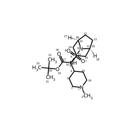 CN1CCC(CS(=O)(=O)N2[C@@H]3CC[C@H]2CC(NC(=O)OC(C)(C)C)C3)CC1